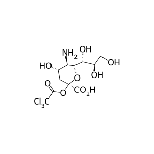 N[C@H]1[C@H]([C@H](O)[C@H](O)CO)O[C@](OC(=O)C(Cl)(Cl)Cl)(C(=O)O)C[C@@H]1O